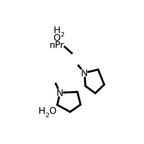 CCCC.CN1CCCC1.CN1CCCC1.O.O